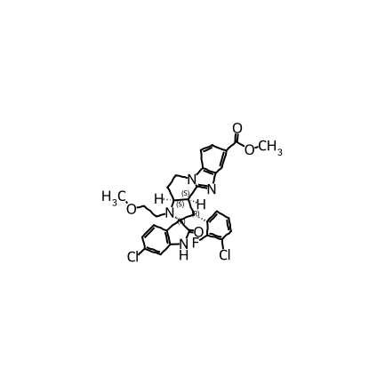 COCCN1[C@H]2CCn3c(nc4cc(C(=O)OC)ccc43)[C@H]2[C@H](c2cccc(Cl)c2F)[C@]12C(=O)Nc1cc(Cl)ccc12